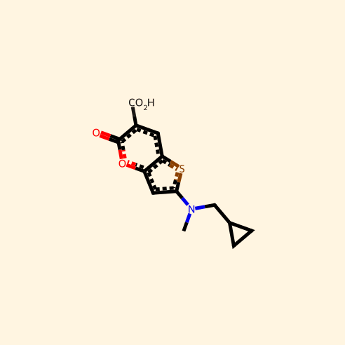 CN(CC1CC1)c1cc2oc(=O)c(C(=O)O)cc2s1